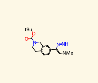 CN/C=C(\N=N)c1ccc2c(c1)CN(C(=O)OC(C)(C)C)CC2